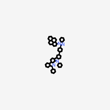 c1ccc(-c2nc3c(ccc4c5cc(-c6ccc(-c7nc8ccccc8n7-c7ccc8ccc9cccc%10ccc7c8c9%10)cc6)ccc5n(-c5ccccc5)c43)c3ccccc23)cc1